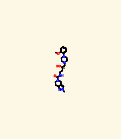 COc1ccccc1N1CCN(C[C@H](O)CCNC(=O)N2CCc3nn(C)cc3C2)CC1